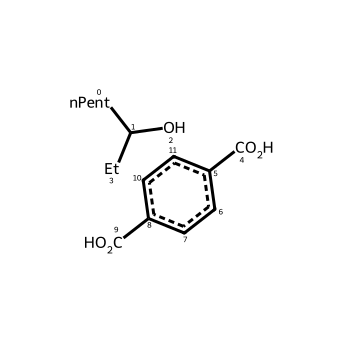 CCCCCC(O)CC.O=C(O)c1ccc(C(=O)O)cc1